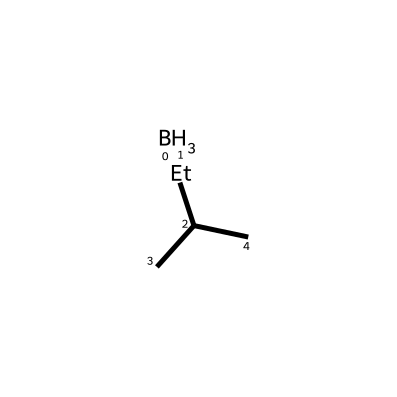 B.CCC(C)C